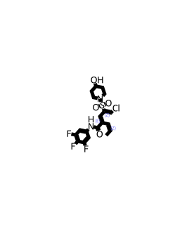 C\C=C/C(=C\C(=C\Cl)S(=O)(=O)N1CCC(O)CC1)C(=O)Nc1cc(F)c(F)c(F)c1